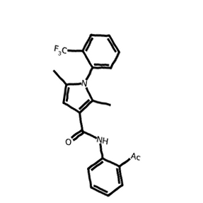 CC(=O)c1ccccc1NC(=O)c1cc(C)n(-c2ccccc2C(F)(F)F)c1C